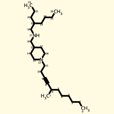 CCCCCCC(C)C#CCCN1CCC(CNCC(CCC)CCCC)CC1